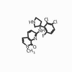 Cn1ccc2ccc(N[C@]3(c4c(F)ccc(Cl)c4Cl)CCNC3)nc2c1=O